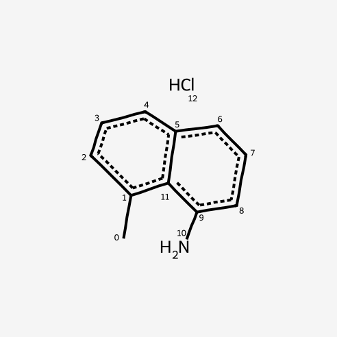 Cc1cccc2cccc(N)c12.Cl